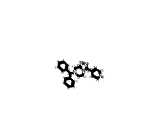 c1ccc(C(c2ccccc2)N2CCn3c(nnc3-c3ccncc3)C2)cc1